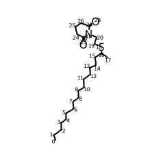 CCCCCCCCCCCCCCCCC(C)SCCN1C(=O)CCCC1=O